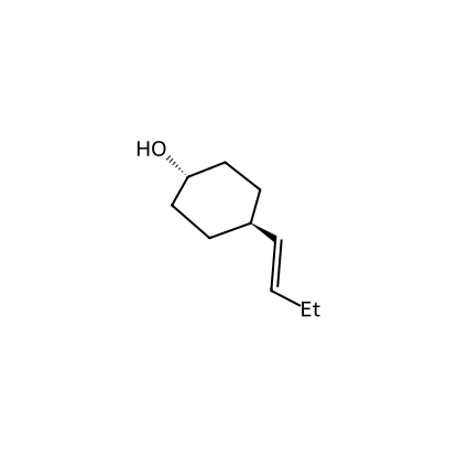 CCC=C[C@H]1CC[C@H](O)CC1